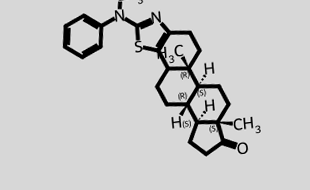 CN(c1ccccc1)c1nc2c(s1)C1CC[C@@H]3[C@H](CC[C@]4(C)C(=O)CC[C@@H]34)[C@@]1(C)CC2